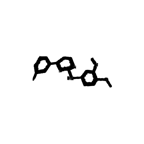 COc1ccc(Nc2nccc(-c3cccc(F)c3)n2)cc1OC